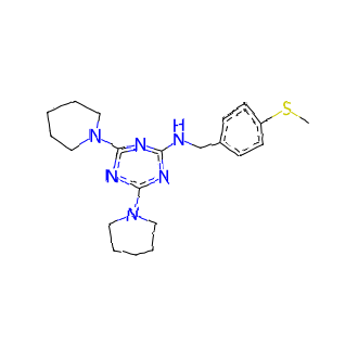 CSc1ccc(CNc2nc(N3CCCCC3)nc(N3CCCCC3)n2)cc1